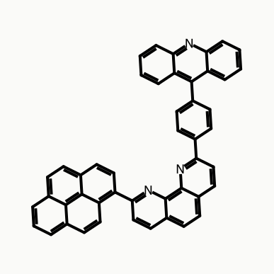 c1cc2ccc3ccc(-c4ccc5ccc6ccc(-c7ccc(-c8c9ccccc9nc9ccccc89)cc7)nc6c5n4)c4ccc(c1)c2c34